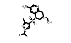 Cc1nn(C(F)F)cc1S(=O)(=O)N1C[C@@H](CO)Cc2ncc(N)cc21